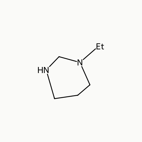 CCN1CCCNC1